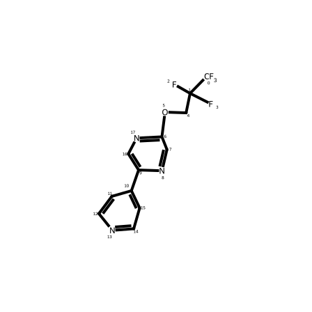 FC(F)(F)C(F)(F)COc1cnc(-c2ccncc2)cn1